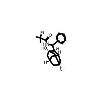 CCC(C)(C)C(=O)NC(c1ccccc1)[C@H]1[C@H]2C[C@@H]3C[C@](Cl)(C2)C[C@@]1(O)C3